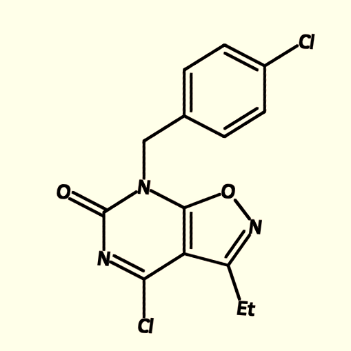 CCc1noc2c1c(Cl)nc(=O)n2Cc1ccc(Cl)cc1